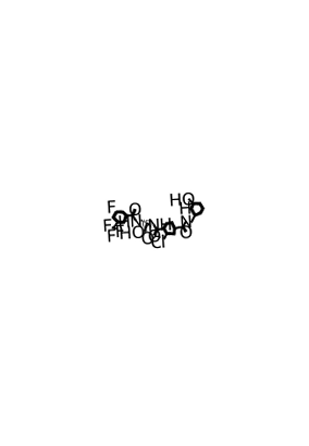 O=C(NCc1cccc(O)c1)c1ccc(C(=O)N[C@@H](CNC(=O)c2cc(F)cc(C(F)(F)F)c2)C(=O)O)c(Cl)c1